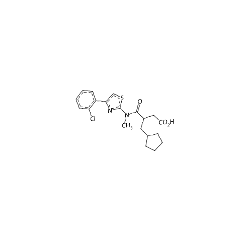 CN(C(=O)C(CC(=O)O)CC1CCCC1)c1nc(-c2ccccc2Cl)cs1